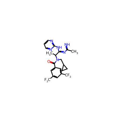 CC(=N)/N=C(\Nc1ncccn1)C(C)N(CC1CC1)C(=O)c1cc(C(F)(F)F)cc(C(F)(F)F)c1